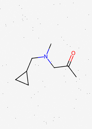 CC(=O)CN(C)CC1CC1